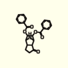 O=C(OC1C2NC(C1OC(=O)c1ccccc1)C1C(=O)CCC21)c1ccccc1